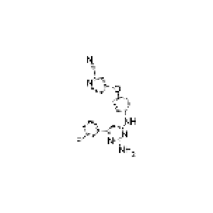 N#Cc1cc(Oc2ccc(Nc3cc(-c4cccc(F)c4)nc(N)n3)cc2)ccn1